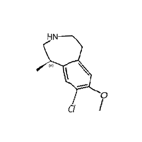 COc1cc2c(cc1Cl)[C@@H](C)CNCC2